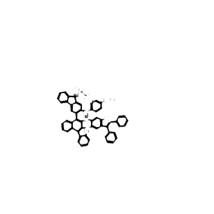 Cc1ccc(N2B3c4cc5oc(-c6ccccc6)c(-c6ccccc6)c5cc4-n4c5ccccc5c5c6ccccc6c(c3c54)-c3cc4c(cc32)C(C)(C)c2ccccc2-4)cc1